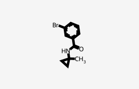 CC1(NC(=O)c2cccc(Br)c2)CC1